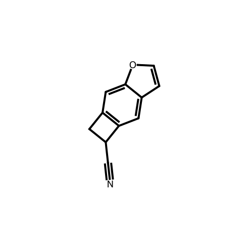 N#CC1Cc2cc3occc3cc21